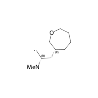 [CH2][C@H](C[C@H]1CCCCOC1)NC